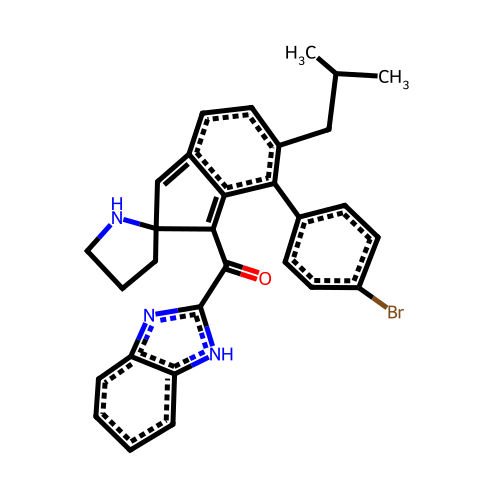 CC(C)Cc1ccc2c(c1-c1ccc(Br)cc1)=C(C(=O)c1nc3ccccc3[nH]1)C1(C=2)CCCN1